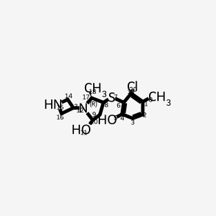 Cc1ccc(O)c(SC2CC(O)N(C3CNC3)[C@@H]2C)c1Cl